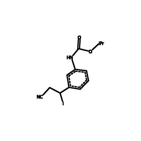 CC(C)OC(=O)Nc1cccc(C(I)CC#N)c1